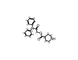 O=C(OCC(=O)N(c1ccccc1)c1ccccc1)C1CCNCC1